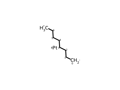 [CH2]CCCCCCC.[Pt]